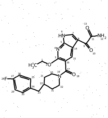 CCOc1nc2[nH]cc(C(=O)C(N)=O)c2cc1C(=O)N1CCC(Cc2ccc(F)cc2)CC1